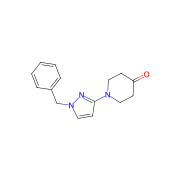 O=C1CCN(c2ccn(Cc3ccccc3)n2)CC1